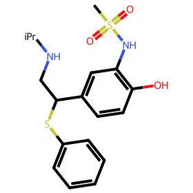 CC(C)NCC(Sc1ccccc1)c1ccc(O)c(NS(C)(=O)=O)c1